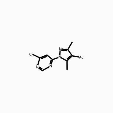 CC(=O)c1c(C)nn(-c2cc(Cl)ncn2)c1C